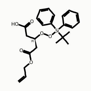 C=CCOC(=O)C[C@@H](CC(=O)O)OO[Si](c1ccccc1)(c1ccccc1)C(C)(C)C